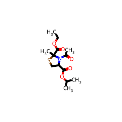 CCOC(=O)C1(C)SCC(C(=O)OC(C)C)N1C(C)=O